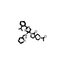 CC(=O)N1CCC2(CC1)CCN(c1cnc(-c3ccccc3C(C)C)nc1NCc1ccccn1)C2=O